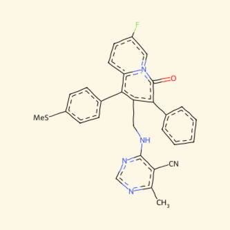 CSc1ccc(-c2c(CNc3ncnc(C)c3C#N)c(-c3ccccc3)c(=O)n3cc(F)ccc23)cc1